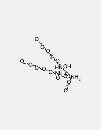 NC(COCCC=O)(COCCC(=O)NCCOCCOCCOCCOCCC=O)COCCC(O)NCCOCCOCCOCCOCCC=O